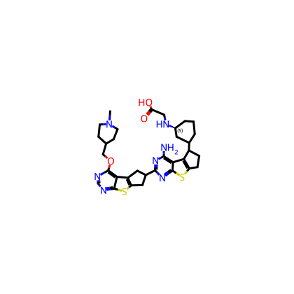 CN1CCC(COc2ncnc3sc4c(c23)CC(c2nc(N)c3c5c(sc3n2)CCC5C2CCC[C@H](NCC(=O)O)C2)C4)CC1